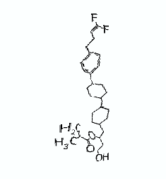 C=C(C)C(=O)OC(CCO)CC1CCC(C2CCC(c3ccc(CCC=C(F)F)cc3)CC2)CC1